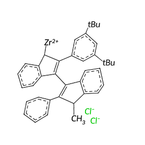 CC1C(c2ccccc2)=C(C2=C(c3cc(C(C)(C)C)cc(C(C)(C)C)c3)[CH]([Zr+2])c3ccccc32)c2ccccc21.[Cl-].[Cl-]